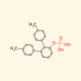 Cc1ccc(-c2cccc(OP(=O)(O)O)c2-c2ccc(C)cc2)cc1